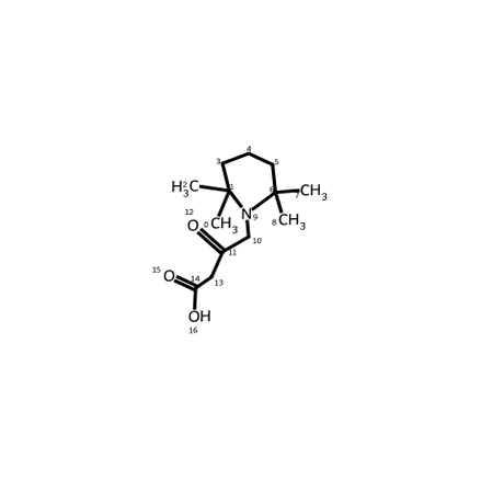 CC1(C)CCCC(C)(C)N1CC(=O)CC(=O)O